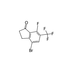 O=C1CCc2c(Br)cc(C(F)(F)F)c(F)c21